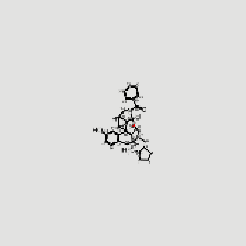 CN1CCC[C@H]1CN1CC[C@@]23c4cc(O)ccc4C[C@@H]1[C@]21CC[C@@H]2[C@H]3[C@@H](CN2C(=O)c2ccccc2)C1